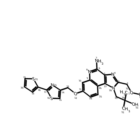 CCOCc1nc2c(N)nc3cc(OCc4csc(-c5cccs5)n4)ccc3c2n1CC(C)(C)O